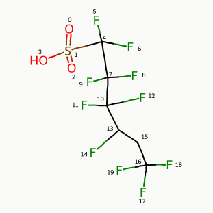 O=S(=O)(O)C(F)(F)C(F)(F)C(F)(F)C(F)CC(F)(F)F